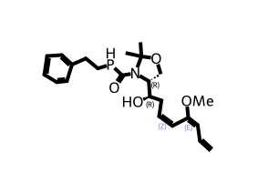 C=C/C=C(\C=C/C[C@@H](O)[C@H]1COC(C)(C)N1C(=O)PCCc1ccccc1)OC